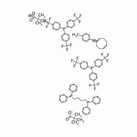 C1=C\CC/C=C\CC/1.CC(C)(C)C(=O)[O-].CC(C)(C)C(=O)[O-].Cc1cc[c]([Rh])cc1.FC(F)(F)c1ccc(P(c2ccc(C(F)(F)F)cc2)c2ccc(C(F)(F)F)cc2)cc1.FC(F)(F)c1ccc(P(c2ccc(C(F)(F)F)cc2)c2ccc(C(F)(F)F)cc2)cc1.[Rh+].c1ccc(P(CCCCP(c2ccccc2)c2ccccc2)c2ccccc2)cc1